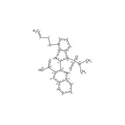 C=CCOc1cccc2c1nc(-c1nc3ccccc3cc1C(=O)O)n2S(=O)(=O)N(C)C